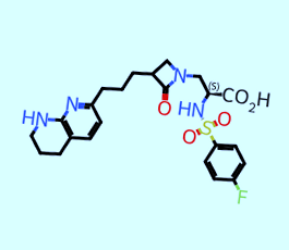 O=C(O)[C@H](CN1CC(CCCc2ccc3c(n2)NCCC3)C1=O)NS(=O)(=O)c1ccc(F)cc1